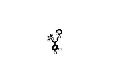 CS(=O)(=O)OCC(CCOC1CCCCO1)c1ccc(Cl)c(Cl)c1